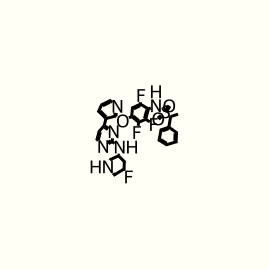 CC(c1ccccc1)S(=O)(=O)Nc1c(F)cc(Oc2ncccc2-c2ccnc(N[C@@H]3CNC[C@@H](F)C3)n2)c(F)c1F